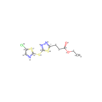 CCOC(=O)CCc1nnc(Sc2ncc(Cl)s2)s1